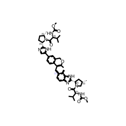 C=c1/c(=C\C2=C(C)OCc3cc(-c4cnc([C@@H]5CC[C@H](C)N5C(=O)[C@@H](NC(=O)OC)C(C)C)[nH]4)ccc32)ccc2nc([C@@H]3C[C@H](C)CN3C(=O)[C@@H](NC(=O)OC)C(C)C)[nH]c12